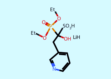 CCOP(=O)(OCC)C(O)(Cc1cccnc1)S(=O)(=O)O.[LiH]